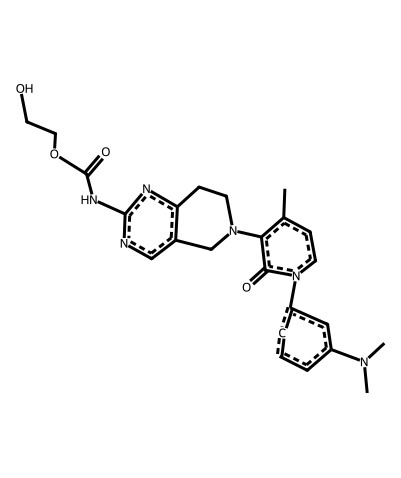 Cc1ccn(-c2cccc(N(C)C)c2)c(=O)c1N1CCc2nc(NC(=O)OCCO)ncc2C1